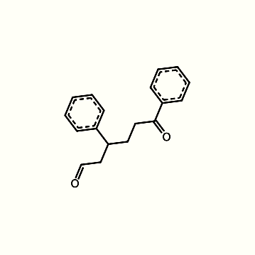 O=CCC(CCC(=O)c1ccccc1)c1ccccc1